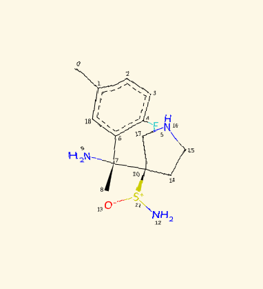 Cc1ccc(F)c([C@@](C)(N)[C@@]2([S+](N)[O-])CCNC2)c1